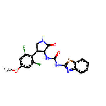 COc1cc(F)c(C2CNC(=O)C2NC(=O)Nc2nc3ccccc3s2)c(F)c1